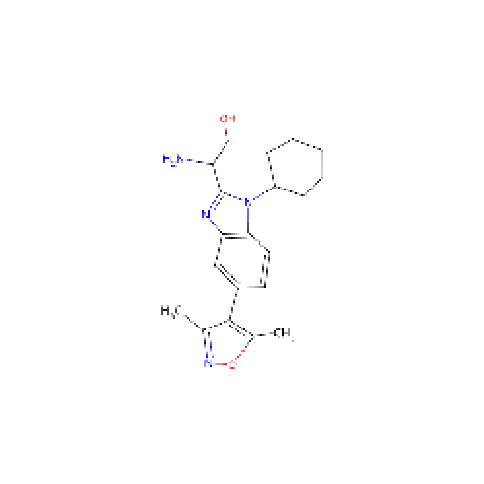 Cc1noc(C)c1-c1ccc2c(c1)nc(C(N)CO)n2C1CCCCC1